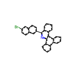 Brc1ccc2cc(-c3nc4c5ccccc5c5ccccc5c4c4ccccc34)ccc2c1